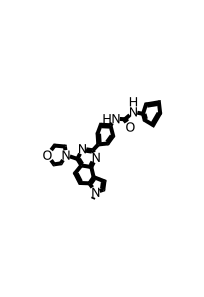 Cn1ccc2c3nc(-c4ccc(NC(=O)Nc5ccccc5)cc4)nc(N4CCOCC4)c3ccc21